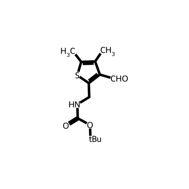 Cc1sc(CNC(=O)OC(C)(C)C)c(C=O)c1C